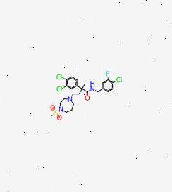 CC(CCN1CCCN(S(C)(=O)=O)CC1)(C(=O)NCc1ccc(Cl)c(F)c1)c1ccc(Cl)c(Cl)c1